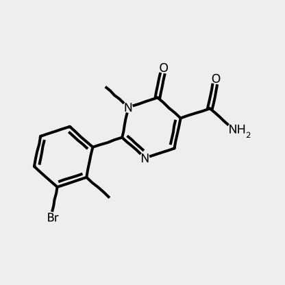 Cc1c(Br)cccc1-c1ncc(C(N)=O)c(=O)n1C